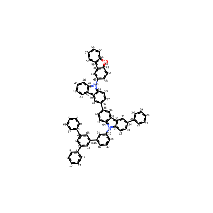 c1ccc(-c2cc(-c3ccccc3)cc(-c3cccc(-n4c5ccc(-c6ccccc6)cc5c5cc(-c6ccc7c(c6)c6ccccc6n7-c6ccc7oc8ccccc8c7c6)ccc54)c3)c2)cc1